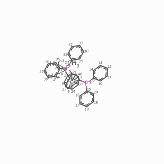 C[Si](C)(C)[C]12[CH]3[CH]4[C]5(P(c6ccccc6)c6ccccc6)[CH]1[Fe]43521678[CH]2[CH]1[CH]6[C]7(P(c1ccccc1)c1ccccc1)[CH]28